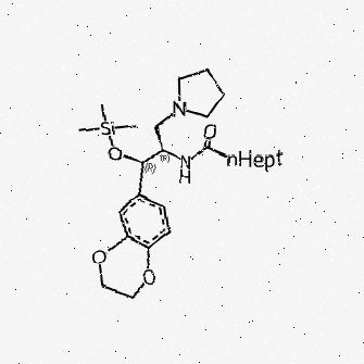 CCCCCCCC(=O)N[C@H](CN1CCCC1)[C@H](O[Si](C)(C)C)c1ccc2c(c1)OCCO2